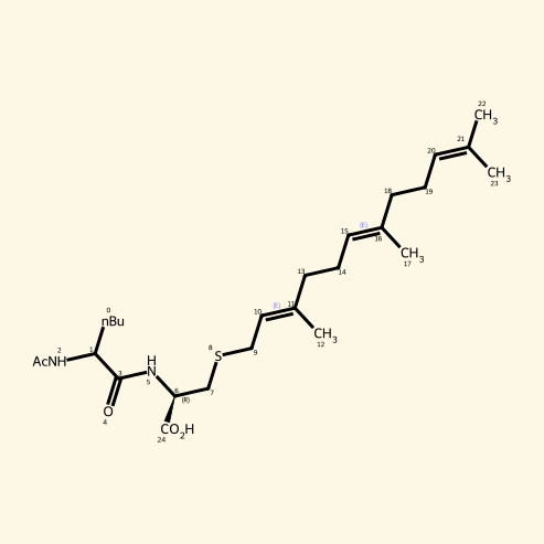 CCCCC(NC(C)=O)C(=O)N[C@@H](CSC/C=C(\C)CC/C=C(\C)CCC=C(C)C)C(=O)O